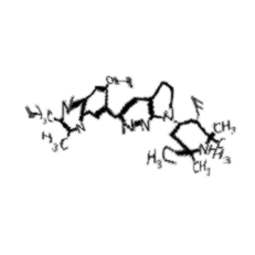 Cc1nc2cc(O)c(-c3cc4c(nn3)N([C@H]3CC(C)(C)NC(C)(C)[C@H]3F)CC4)cc2nc1C